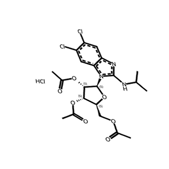 CC(=O)OC[C@@H]1O[C@H](n2c(NC(C)C)nc3cc(Cl)c(Cl)cc32)[C@@H](OC(C)=O)[C@H]1OC(C)=O.Cl